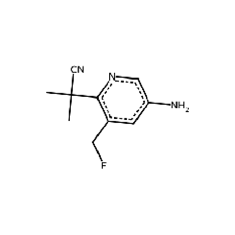 CC(C)(C#N)c1ncc(N)cc1CF